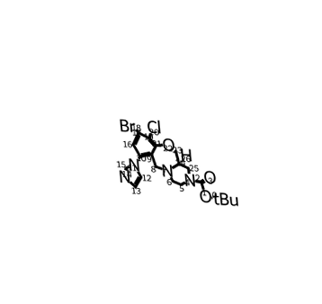 CC(C)(C)OC(=O)N1CCN2Cc3c(-n4ccnc4)cc(Br)c(Cl)c3OC[C@H]2C1